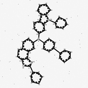 c1ccc(-c2ccc(N(c3ccc4ccc5oc(-c6ccccc6)nc5c4c3)c3ccc4c5ccccc5n(-c5ccccc5)c4c3)cc2)cc1